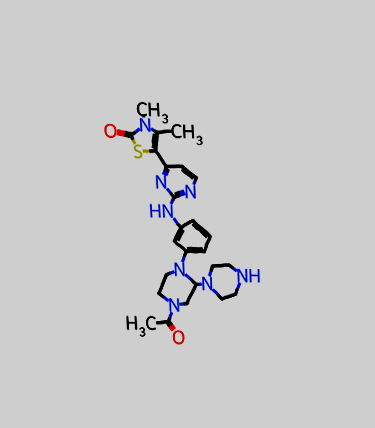 CC(=O)N1CCN(c2cccc(Nc3nccc(-c4sc(=O)n(C)c4C)n3)c2)C(N2CCNCC2)C1